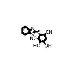 N#Cc1cc(O)c(O)c(C#N)c1Sc1nc2ccccc2s1